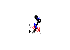 Cc1nc(CCc2cccc3nc4ccccc4cc23)cn(C(CC(C)C)C(=O)O)c1=O